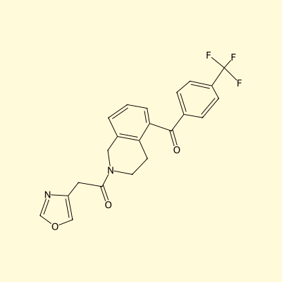 O=C(c1ccc(C(F)(F)F)cc1)c1cccc2c1CCN(C(=O)Cc1cocn1)C2